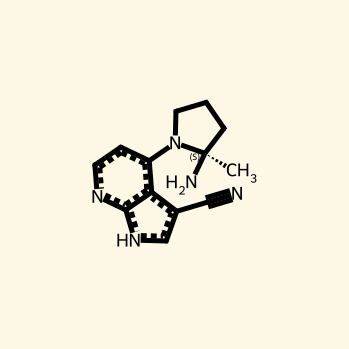 C[C@@]1(N)CCCN1c1ccnc2[nH]cc(C#N)c12